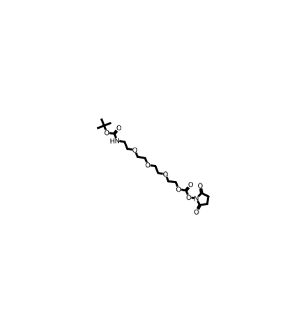 CC(C)(C)OC(=O)NCCOCCOCCOCCOC(=O)ON1C(=O)CCC1=O